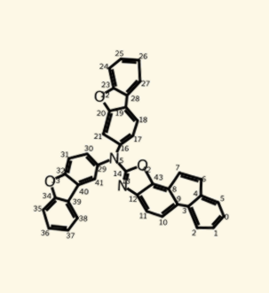 c1ccc2c(c1)ccc1c2ccc2nc(N(c3ccc4c(c3)oc3ccccc34)c3ccc4oc5ccccc5c4c3)oc21